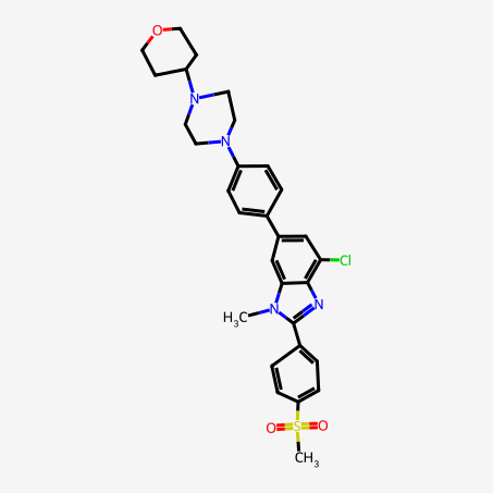 Cn1c(-c2ccc(S(C)(=O)=O)cc2)nc2c(Cl)cc(-c3ccc(N4CCN(C5CCOCC5)CC4)cc3)cc21